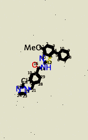 COc1ccc(-c2ccccc2)c2sc(NC(=O)c3ccc(Cn4ccnc4C)cc3)nc12